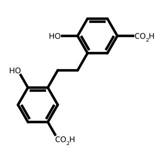 O=C(O)c1ccc(O)c(CCc2cc(C(=O)O)ccc2O)c1